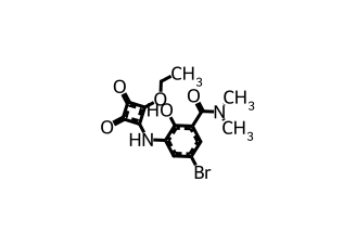 CCOc1c(Nc2cc(Br)cc(C(=O)N(C)C)c2O)c(=O)c1=O